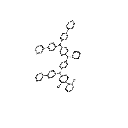 Clc1ccccc1-c1ccc(N(c2ccc(-c3ccccc3)cc2)c2ccc(C(c3ccccc3)c3ccc(N(c4ccc(-c5ccccc5)cc4)c4ccc(-c5cccnc5)cc4)cc3)cc2)cc1Cl